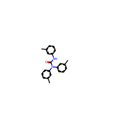 Cc1cccc(NC(=O)N(c2cccc(C)c2)c2cccc(C)c2)c1